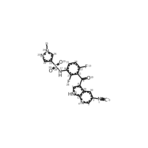 [C-]#[N+]c1cnc2[nH]cc(C(=O)c3c(F)ccc(NS(=O)(=O)c4cnn(C)c4)c3F)c2c1